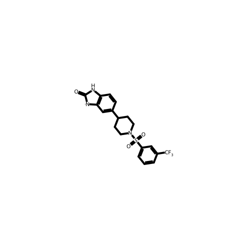 O=C1[N]c2cc(C3CCN(S(=O)(=O)c4cccc(C(F)(F)F)c4)CC3)ccc2N1